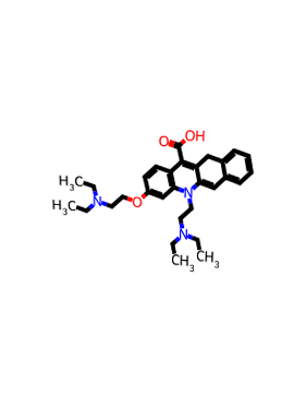 CCN(CC)CCOc1ccc2c(c1)N(CCN(CC)CC)C1=Cc3ccccc3CC1=C2C(=O)O